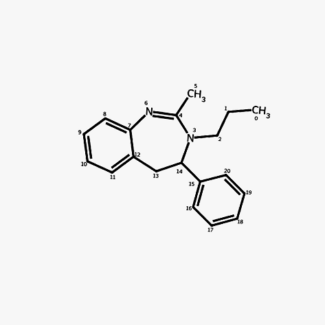 CCCN1C(C)=Nc2ccccc2CC1c1ccccc1